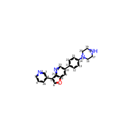 c1cncc(-c2coc3cc(-c4ccc(N5CCNCC5)cc4)cnc23)c1